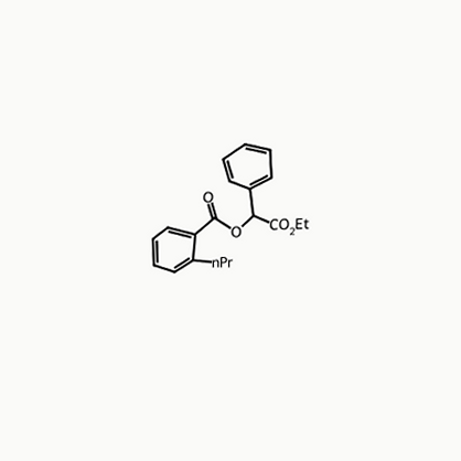 CCCc1ccccc1C(=O)OC(C(=O)OCC)c1ccccc1